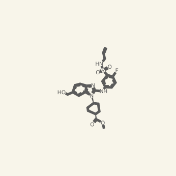 C=CCNS(=O)(=O)c1cc(Nc2nc3ccc(CO)cc3n2[C@H]2CC[C@@H](C(=O)OC)CC2)ccc1F